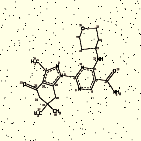 Cc1nn(-c2ncc(C(N)=O)c(NC3CCOCC3)n2)c2c1C(=O)CC(C)(C)C2